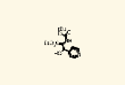 CCOC(=O)C(NC(=O)OC(C)(C)C)C(O)c1ccncc1